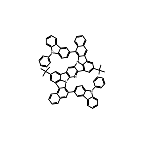 CC(C)(C)c1cc2c3cc4ccccc4c(-c4ccc5c(c4)c4ccccc4n5-c4ccccc4)c3n3c4cc5c6cc(C(C)(C)C)cc7c8c9ccccc9cc(-c9ccc%10c(c9)c9ccccc9n%10-c9ccccc9)c8n(c5nc4c(c1)c23)c67